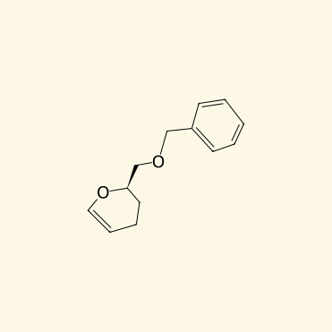 C1=CO[C@@H](COCc2ccccc2)CC1